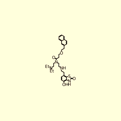 CCN(CC)CCN(CCNCCc1ccc(O)c2[nH]c(=O)sc12)C(=O)CCOCCc1ccc2ccccc2c1